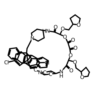 O=C1OC(OCC2CCCO2)C(=O)NC2CCN(CC2)CC23c4ccccc4C(c4ccc(Cl)cc42)C32C3c4ccccc4C2(CN2CCC(CC2)NC(=O)C(OCC2CCCO2)OC1=O)c1cc(Cl)ccc13